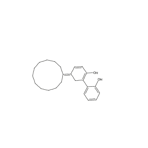 OC1=C(c2ccccc2O)CC(=C2CCCCCCCCCCC2)C=C1